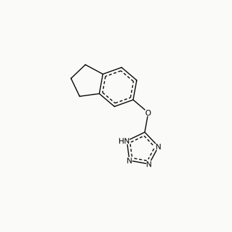 c1cc2c(cc1Oc1nnn[nH]1)CCC2